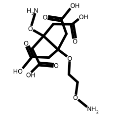 NOCCOC(CC(=O)O)(CC(=O)O)C(CC(=O)O)(CC(=O)O)ON